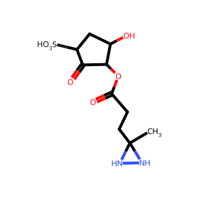 CC1(CCC(=O)OC2C(=O)C(S(=O)(=O)O)CC2O)NN1